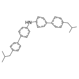 CC(C)Cc1ccc(-c2ccc(Nc3ccc(-c4ccc(CC(C)C)cc4)cc3)cc2)cc1